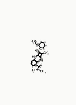 C=C1C(=O)C(Nc2cccc(C(=O)N(C)C)c2O)=C1N[C@@H]1CCCC[C@H]1CC